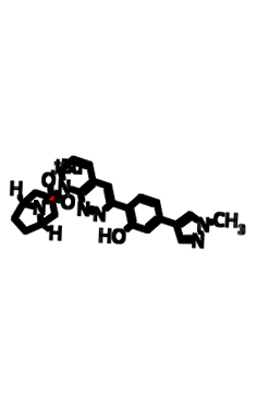 Cn1cc(-c2ccc(-c3cc4c(nn3)N(C3C[C@H]5CC[C@@H](C3)N5C(=O)OC(C)(C)C)CC=C4)c(O)c2)cn1